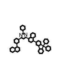 c1ccc(-c2nc(-c3cccc(-c4cccc5ccccc45)c3)cc(-c3ccc(-c4ccc5c(c4)-c4ccccc4C5(c4ccccc4)c4ccccc4)c4ccccc34)n2)cc1